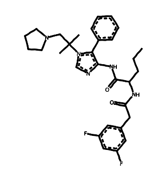 CCCC(NC(=O)Cc1cc(F)cc(F)c1)C(=O)Nc1ncn(C(C)(C)CN2CCCC2)c1-c1ccccc1